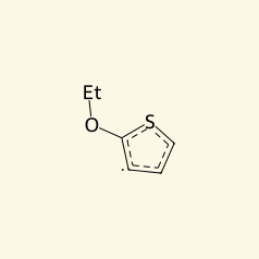 CCOc1[c]ccs1